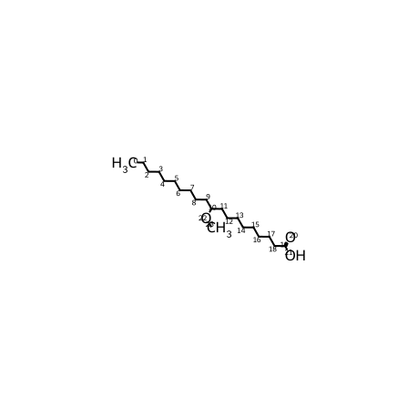 CCCCCCCCCCC(CCCCCCCCC(=O)O)OC